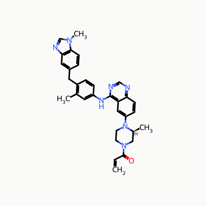 C=CC(=O)N1CCN(c2ccc3ncnc(Nc4ccc(Cc5ccc6c(c5)ncn6C)c(C)c4)c3c2)[C@@H](C)C1